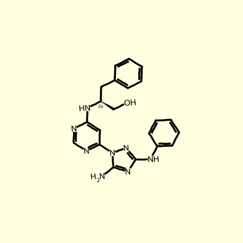 Nc1nc(Nc2ccccc2)nn1-c1cc(N[C@H](CO)Cc2ccccc2)ncn1